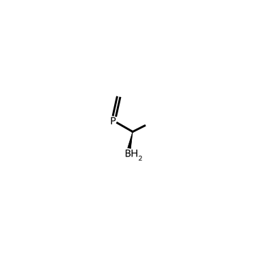 B[C@H](C)P=C